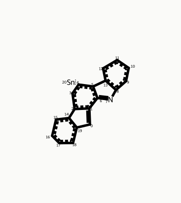 C1=c2c(ccc3c2=Nc2ccccc2-3)-c2ccccc21.[Sn]